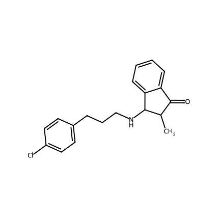 CC1C(=O)c2ccccc2C1NCCCc1ccc(Cl)cc1